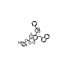 O=C(Oc1ncc[nH]1)C1CSc2c(C3CC(c4ccccc4)=NO3)c(Cc3cccc4ccccc34)cc(=O)n21